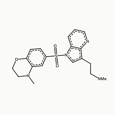 CNCCc1cn(S(=O)(=O)c2ccc3c(c2)N(C)CCO3)c2cccnc12